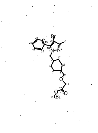 Cc1nn(CC2CCC(COCC(=O)OC(C)(C)C)CC2)c(-c2ccccc2)c1Br